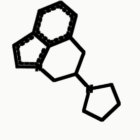 c1cc2c3c(c1)ccn3CC(N1CCCC1)C2